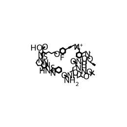 C#CCOC(=O)N(C)Cc1cc(NC(=O)[C@H](CCCNC(N)=O)NC(=O)[C@@H](NC(=O)OC(C)(C)C)C(C)C)ccc1C[N+](C)(C)CC#Cc1ccc(OCCCc2sc(N3CCCc4c3nnc(Nc3nc5ccccc5s3)c4C)nc2C(=O)O)c(F)c1